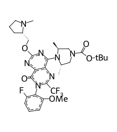 COc1cccc(F)c1-n1c(C(F)(F)F)nc2c(N3[C@@H](C)CN(C(=O)OC(C)(C)C)C[C@@H]3C)nc(OC[C@@H]3CCCN3C)nc2c1=O